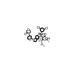 CC(C)(C)C(C(=O)O)N(c1ccc2c(ccn2-c2cc(N3CCOCC3=O)ccn2)c1)S(=O)(=O)c1cc(Cl)cc(Cl)c1